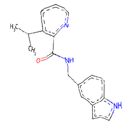 CC(C)c1cccnc1C(=O)NCc1ccc2[nH]ccc2c1